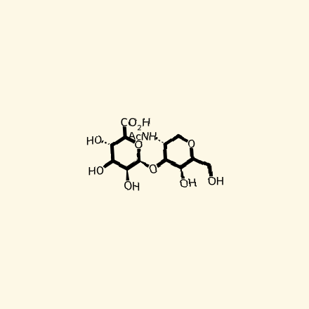 CC(=O)N[C@@H]1COC(CO)[C@@H](O)C1O[C@@H]1OC(C(=O)O)[C@@H](O)C(O)[C@@H]1O